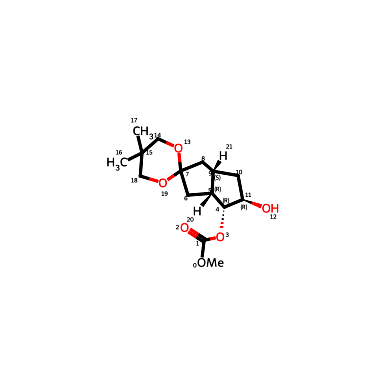 COC(=O)O[C@@H]1[C@@H]2CC3(C[C@@H]2C[C@H]1O)OCC(C)(C)CO3